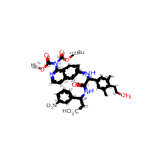 Cc1cc(C(Nc2ccc3c(N(C(=O)OC(C)(C)C)C(=O)OC(C)(C)C)nccc3c2)C(=O)NC(CC(=O)O)c2cccc([N+](=O)[O-])c2)cc(C)c1CCO